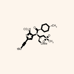 COC[C@H](CS(C)(=O)=O)N(c1cc(C#CC(C)(C)C)sc1C(=O)O)C(=O)[C@H]1CC[C@H](C)CC1